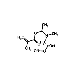 C=C(C)C(=O)OC(C)N(C)C.CCCCCCCCON=O